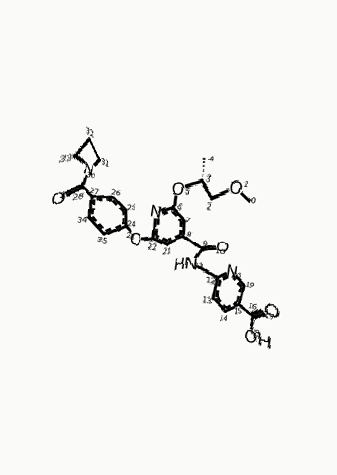 COC[C@@H](C)Oc1cc(C(=O)Nc2ccc(C(=O)O)cn2)cc(Oc2ccc(C(=O)N3CCC3)cc2)n1